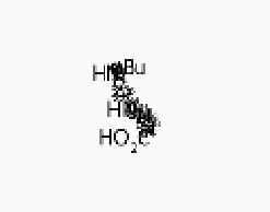 CCCCNN=Cc1ccc(C2CC(CN3CCN(CC(=O)O)CC3)ON2)cc1